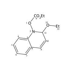 CCOC(=O)ON1c2ccccc2C=CC1OCC